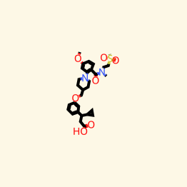 COc1ccc(C(=O)N(C)CCS(C)(=O)=O)c(N2CCC(COc3cccc(C(CC(=O)O)C4CC4)c3)CC2)c1